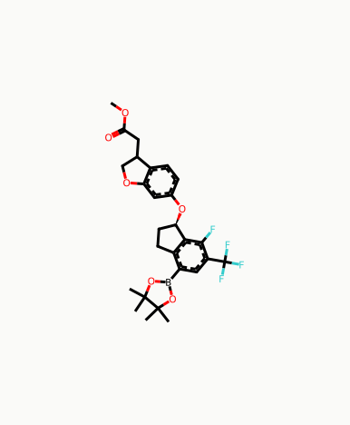 COC(=O)CC1COc2cc(O[C@@H]3CCc4c(B5OC(C)(C)C(C)(C)O5)cc(C(F)(F)F)c(F)c43)ccc21